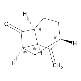 C=C1[C@H]2CC[C@@H]3C(=O)[C@H](C2)[C@H]13